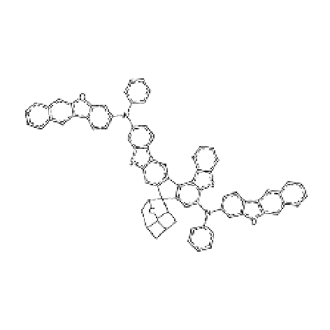 c1ccc(N(c2ccc3c(c2)oc2cc4ccccc4cc23)c2ccc3c(c2)sc2cc4c(cc23)-c2c(cc(N(c3ccccc3)c3ccc5c(c3)oc3cc6ccccc6cc35)c3sc5ccccc5c23)C42C3CC4CC5CC2C45C3)cc1